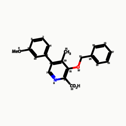 COc1cccc(-c2cnc(C(=O)O)c(OCc3ccccc3)c2C)c1